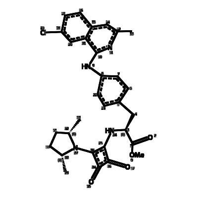 COC(=O)[C@H](Cc1ccc(Nc2nc(C)cc3ccc(Cl)cc23)cc1)Nc1c(N2[C@H](C)CC[C@@H]2C)c(=O)c1=O